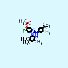 CC(=O)Oc1cc2nc(Nc3ccc(C(C)C)cc3)n([C@H]3C[C@@H](C)CC(C)(C)C3)c2cc1F